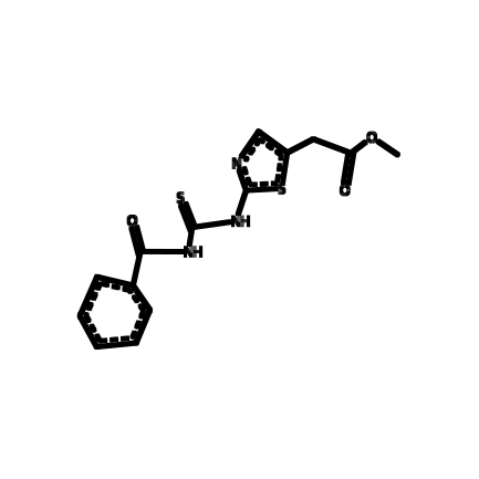 COC(=O)Cc1cnc(NC(=S)NC(=O)c2ccccc2)s1